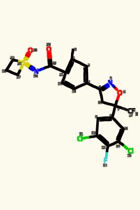 Cc1cc(C2=NOC(c3cc(Cl)c(F)c(Cl)c3)(C(F)(F)F)C2)ccc1C(=O)N=S1(=O)CCC1